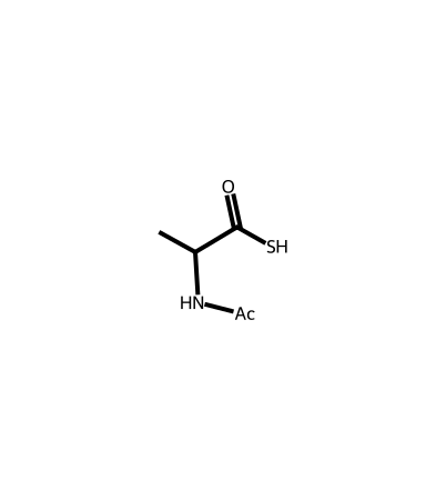 CC(=O)NC(C)C(=O)S